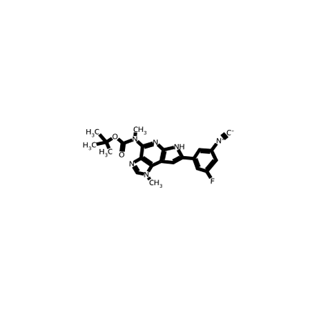 [C-]#[N+]c1cc(F)cc(-c2cc3c(nc(N(C)C(=O)OC(C)(C)C)c4ncn(C)c43)[nH]2)c1